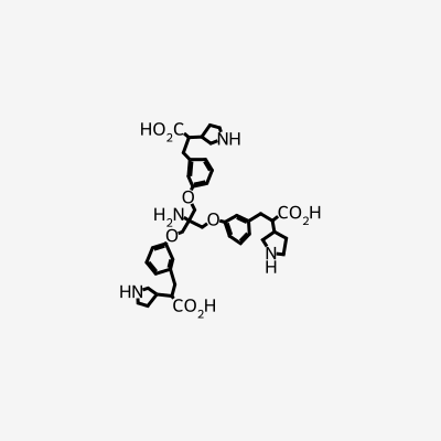 NC(COc1cccc(CC(C(=O)O)C2CCNC2)c1)(COc1cccc(CC(C(=O)O)C2CCNC2)c1)COc1cccc(CC(C(=O)O)C2CCNC2)c1